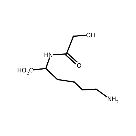 NCCCCC(NC(=O)CO)C(=O)O